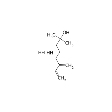 C=CC(=C)CCCC(C)(C)O.[HH].[HH]